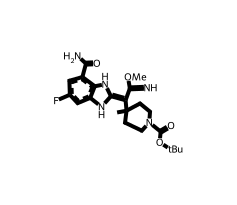 COC(=N)/C(=C1/Nc2cc(F)cc(C(N)=O)c2N1)C1(C)CCN(C(=O)OC(C)(C)C)CC1